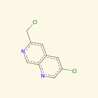 ClCc1cc2cc(Cl)cnc2cn1